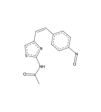 CC(=O)Nc1nc(/C=C\c2ccc(N=O)cc2)cs1